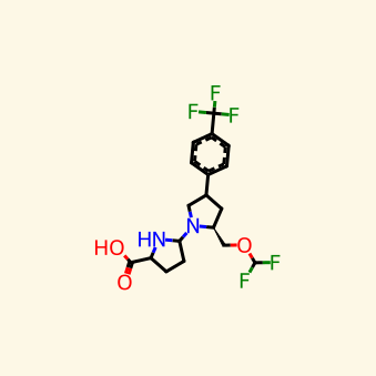 O=C(O)C1CCC(N2CC(c3ccc(C(F)(F)F)cc3)C[C@H]2COC(F)F)N1